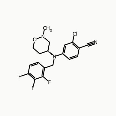 CN1C[C@@H](N(Cc2ccc(F)c(F)c2F)c2ccc(C#N)c(Cl)c2)CCO1